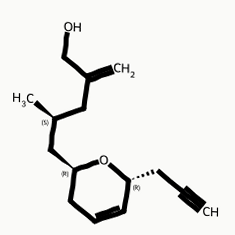 C#CC[C@@H]1C=CC[C@@H](C[C@@H](C)CC(=C)CO)O1